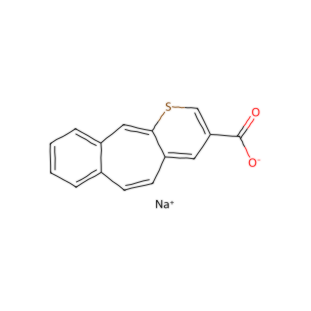 O=C([O-])C1=CSC2=Cc3ccccc3C=CC2=C1.[Na+]